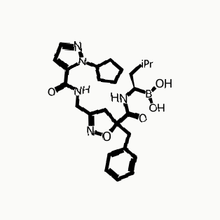 CC(C)C[C@H](NC(=O)C1(Cc2ccccc2)CC(CNC(=O)c2ccnn2C2CCCC2)=NO1)B(O)O